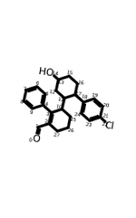 O=CC1=C(c2ccccc2)C(C2CC(O)CCC2c2ccc(Cl)cc2)CCC1